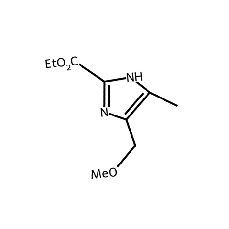 CCOC(=O)c1nc(COC)c(C)[nH]1